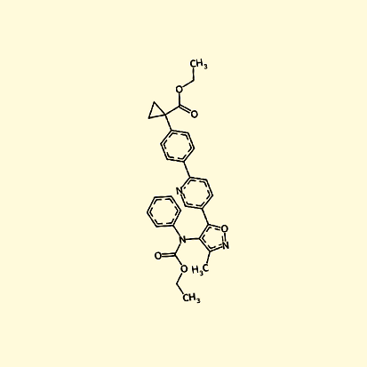 CCOC(=O)N(c1ccccc1)c1c(C)noc1-c1ccc(-c2ccc(C3(C(=O)OCC)CC3)cc2)nc1